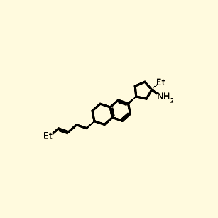 CC/C=C/CC[C@H]1CCc2cc([C@H]3CC[C@](N)(CC)C3)ccc2C1